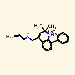 C=CCNCC1=CC(C)(C)Nc2c1cccc2-c1ccccc1OC